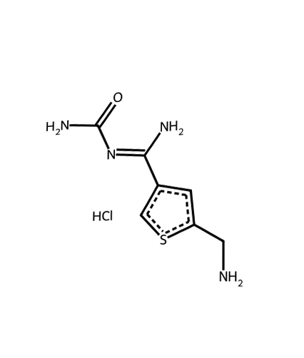 Cl.NCc1cc(C(N)=NC(N)=O)cs1